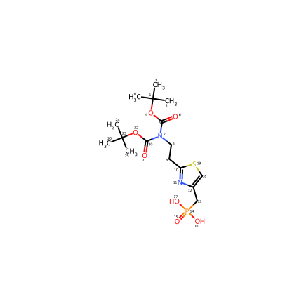 CC(C)(C)OC(=O)N(CCc1nc(CP(=O)(O)O)cs1)C(=O)OC(C)(C)C